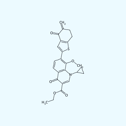 C=C1CCc2sc(-c3ccc4c(=O)c(C(=O)OCC)cn(C5CC5)c4c3OC)cc2C1=O